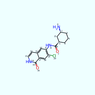 N[C@H]1CCC[C@@H](C(=O)Nc2cc3cc[nH]c(=O)c3cc2Cl)C1